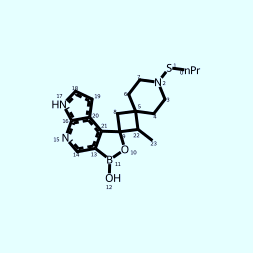 CCCSN1CCC2(CC1)CC1(OB(O)c3cnc4[nH]ccc4c31)C2C